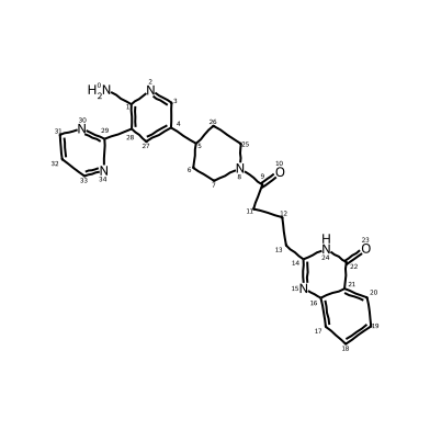 Nc1ncc(C2CCN(C(=O)CCCc3nc4ccccc4c(=O)[nH]3)CC2)cc1-c1ncccn1